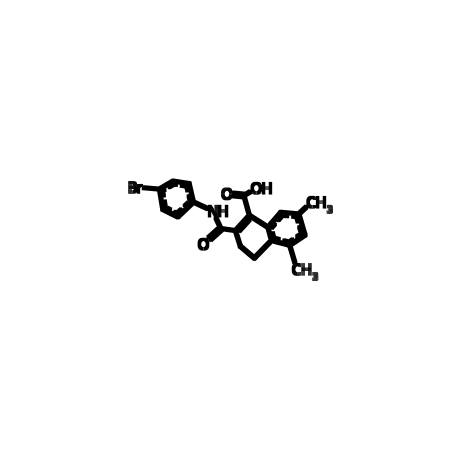 Cc1cc(C)c2c(c1)C(C(=O)O)=C(C(=O)Nc1ccc(Br)cc1)CC2